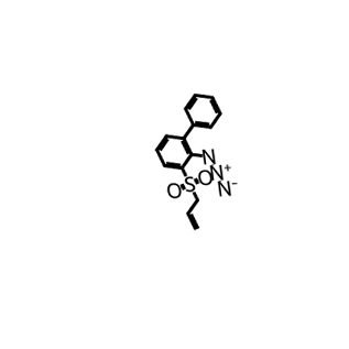 C=CCS(=O)(=O)c1cccc(-c2ccccc2)c1N=[N+]=[N-]